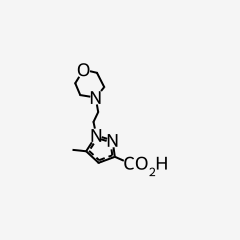 Cc1cc(C(=O)O)nn1CCN1CCOCC1